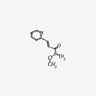 CON(C)C(=O)/C=C/c1ccccn1